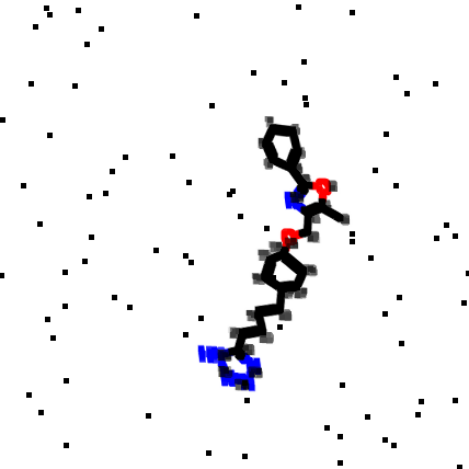 Cc1oc(-c2ccccc2)nc1COc1ccc(C=CC=Cc2nnn[nH]2)cc1